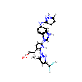 Cc1ccc(Nc2ccc3c(c2)ncn3-c2ccc(CCO)c(-n3nc(C(F)F)cc3C#N)n2)nn1